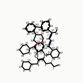 CCCCC1=C(CC2CCCCC2)Oc2c(C3CCCCC3)cccc2N1C1CCCCC1/C(C)=C/C=C(\CC)c1cccc(-c2ccccc2C2CCCCC2)c1